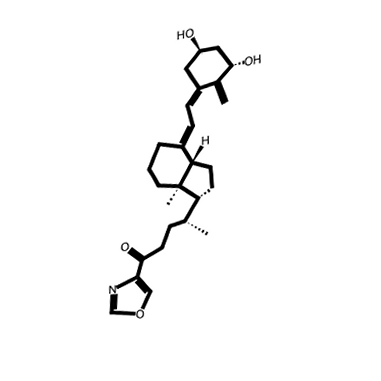 C=C1C(=CC=C2CCC[C@]3(C)[C@@H]([C@H](C)CCC(=O)c4cocn4)CC[C@@H]23)C[C@@H](O)C[C@@H]1O